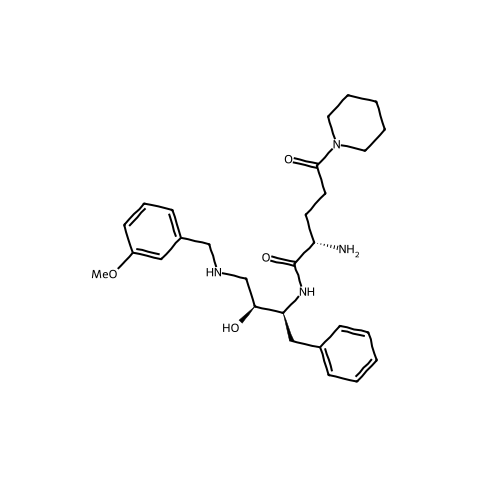 COc1cccc(CNC[C@H](O)[C@H](Cc2ccccc2)NC(=O)[C@@H](N)CCC(=O)N2CCCCC2)c1